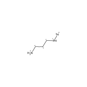 [3H]PCCCN